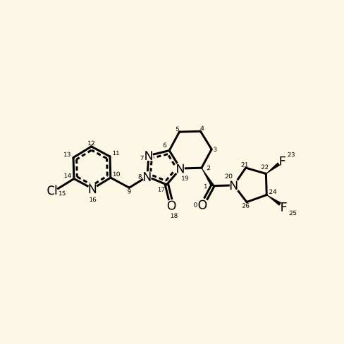 O=C([C@@H]1CCCc2nn(Cc3cccc(Cl)n3)c(=O)n21)N1C[C@@H](F)[C@@H](F)C1